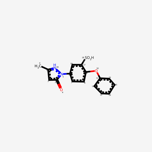 Cc1cc(=O)n(-c2ccc(Oc3ccccc3)c(S(=O)(=O)O)c2)[nH]1